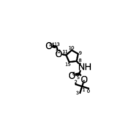 CC(C)(C)OC(=O)NC1CCC(OC=O)C1